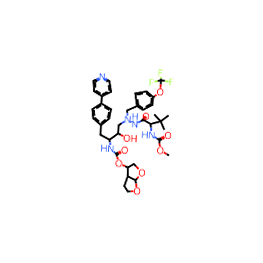 COC(=O)NC(C(=O)NN(Cc1ccc(OC(F)(F)F)cc1)CC(O)C(Cc1ccc(-c2ccncc2)cc1)NC(=O)OC1COC2OCCC12)C(C)(C)C